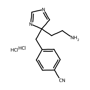 Cl.Cl.N#Cc1ccc(CC2(CCN)C=NC=N2)cc1